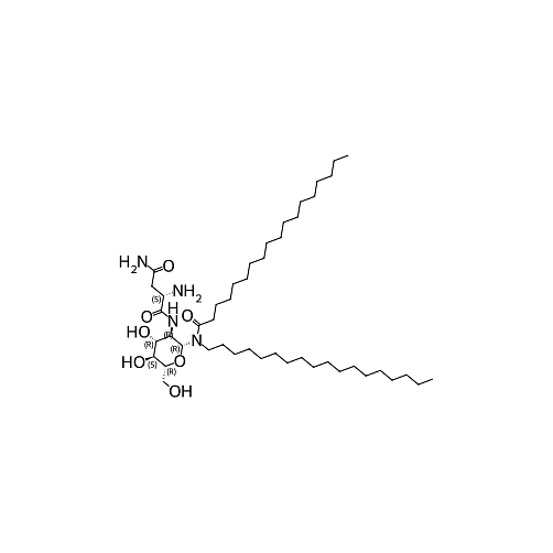 CCCCCCCCCCCCCCCCCCN(C(=O)CCCCCCCCCCCCCCCCC)[C@@H]1O[C@H](CO)[C@@H](O)[C@H](O)[C@H]1NC(=O)[C@@H](N)CC(N)=O